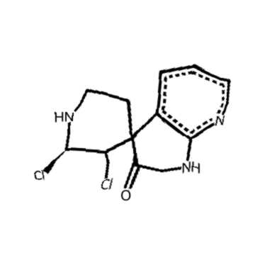 O=C1Nc2ncccc2C12CCN[C@H](Cl)C2Cl